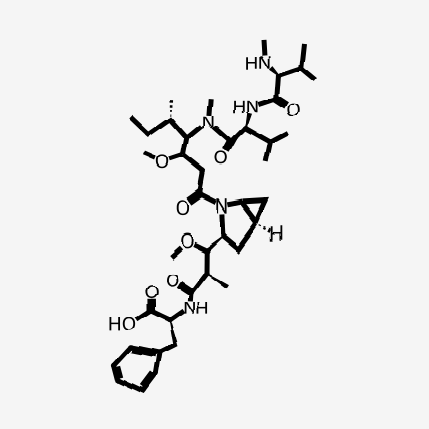 CC[C@H](C)C(C(CC(=O)N1C2C[C@H]2C[C@H]1C(OC)[C@@H](C)C(=O)N[C@@H](Cc1ccccc1)C(=O)O)OC)N(C)C(=O)[C@@H](NC(=O)[C@@H](NC)C(C)C)C(C)C